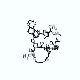 COc1ccc2c(OC3CC4C(=O)NC5(C(=O)NS(=O)(=O)C6CC6)CC5/C=C\CCCCN(C)C(=O)C4C3)cc(-c3nc(C(C)C)cs3)nc2c1F